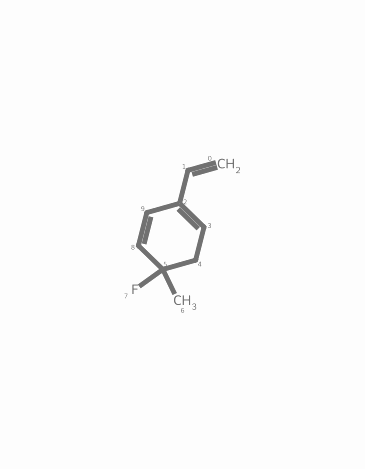 C=CC1=CCC(C)(F)C=C1